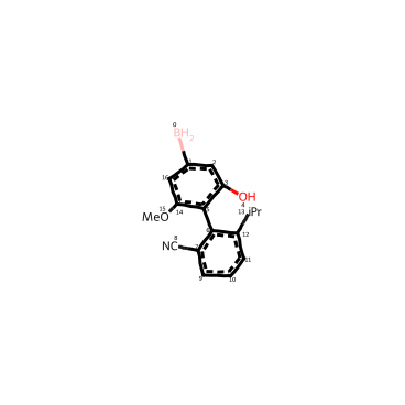 Bc1cc(O)c(-c2c(C#N)cccc2C(C)C)c(OC)c1